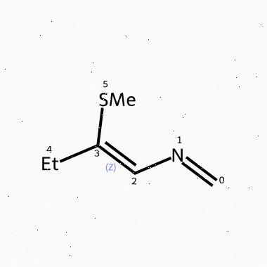 C=N/C=C(/CC)SC